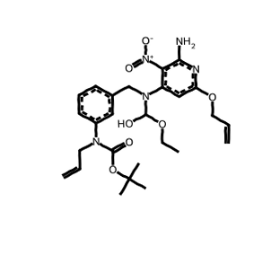 C=CCOc1cc(N(Cc2cccc(N(CC=C)C(=O)OC(C)(C)C)c2)C(O)OCC)c([N+](=O)[O-])c(N)n1